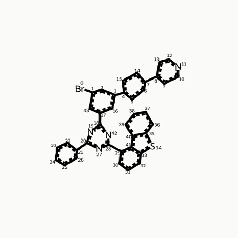 Brc1cc(-c2ccc(-c3ccncc3)cc2)cc(-c2nc(-c3ccccc3)nc(-c3cccc4sc5ccccc5c34)n2)c1